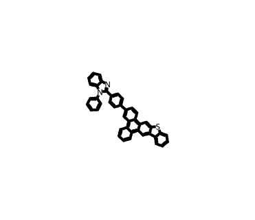 c1ccc(-n2c(-c3ccc(-c4ccc5c(c4)c4ccccc4c4cc6c(cc54)sc4ccccc46)cc3)nc3ccccc32)cc1